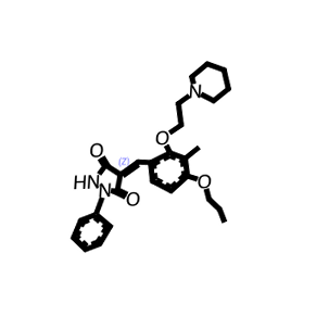 CCCOc1ccc(/C=C2/C(=O)NN(c3ccccc3)C2=O)c(OCCN2CCCCC2)c1C